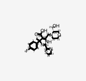 CC1(c2ccc(F)cc2)N=C(c2nccs2)NC(CN2CCOC[C@H]2CO)=C1C(=O)O